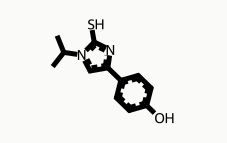 CC(C)n1cc(-c2ccc(O)cc2)nc1S